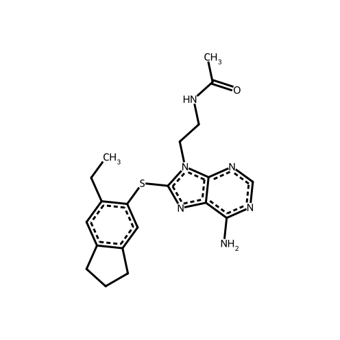 CCc1cc2c(cc1Sc1nc3c(N)ncnc3n1CCNC(C)=O)CCC2